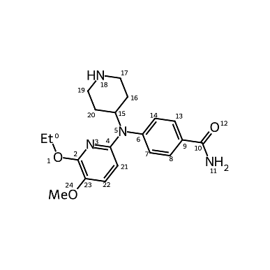 CCOc1nc(N(c2ccc(C(N)=O)cc2)C2CCNCC2)ccc1OC